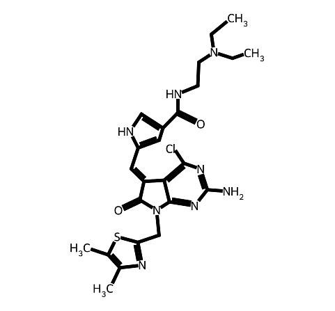 CCN(CC)CCNC(=O)c1c[nH]c(/C=C2/C(=O)N(Cc3nc(C)c(C)s3)c3nc(N)nc(Cl)c32)c1